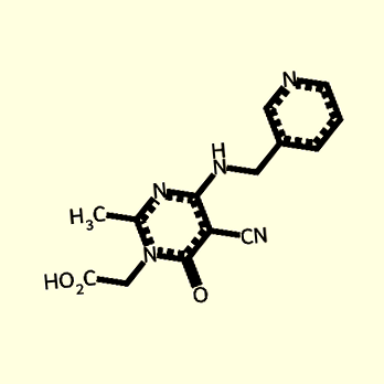 Cc1nc(NCc2cccnc2)c(C#N)c(=O)n1CC(=O)O